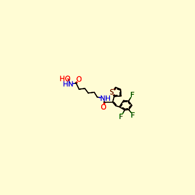 O=C(CCCCCNC(=O)C(=Cc1cc(F)cc(F)c1F)c1cccs1)NO